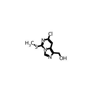 CSc1nc(Cl)cc2c(CO)ncn12